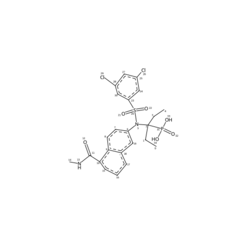 CCC(CC)(N(c1ccc2c(C(=O)NC)cccc2c1)S(=O)(=O)c1cc(Cl)cc(Cl)c1)P(=O)(O)O